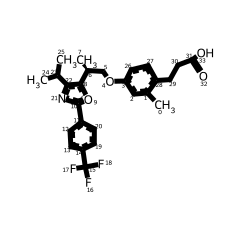 Cc1cc(OC[C@H](C)c2oc(-c3ccc(C(F)(F)F)cc3)nc2C(C)C)ccc1CCC(=O)O